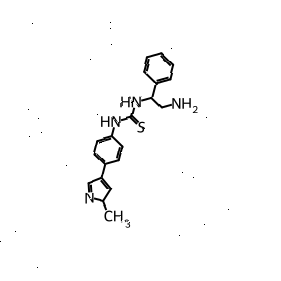 CC1C=C(c2ccc(NC(=S)NC(CN)c3ccccc3)cc2)C=N1